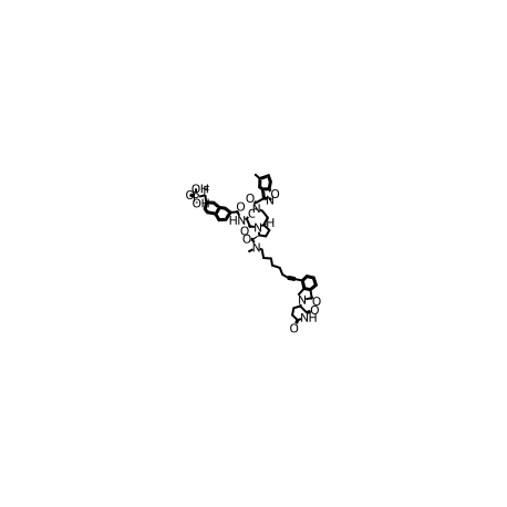 Cc1ccc2onc(C(=O)N3CC[C@H]4CC[C@@H](C(=O)N(C)CCCCCCC#Cc5cccc6c5CN(C5CCC(=O)NC5=O)C6=O)N4C(=O)[C@@H](NC(=O)c4ccc5ccc(C(F)P(=O)(O)O)cc5c4)C3)c2c1